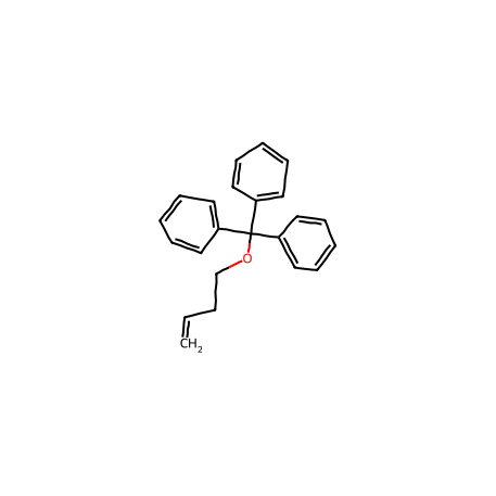 C=CCCOC(c1ccccc1)(c1ccccc1)c1ccccc1